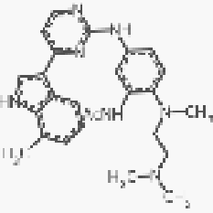 CC(=O)Nc1cc(Nc2nccc(-c3c[nH]c4c(C)cccc34)n2)ccc1N(C)CCN(C)C